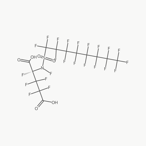 O=C(O)C(F)(F)C(F)(F)[C@@](F)(C(=O)O)N(F)S(=O)(=O)C(F)(F)C(F)(F)C(F)(F)C(F)(F)C(F)(F)C(F)(F)C(F)(F)C(F)(F)F